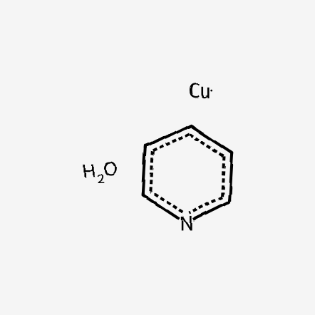 O.[Cu].c1ccncc1